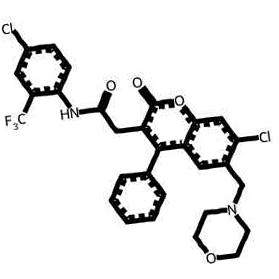 O=C(Cc1c(-c2ccccc2)c2cc(CN3CCOCC3)c(Cl)cc2oc1=O)Nc1ccc(Cl)cc1C(F)(F)F